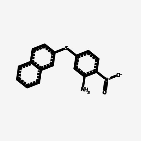 Nc1cc(Sc2ccc3ccccc3c2)ccc1[N+](=O)[O-]